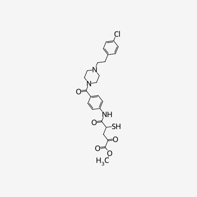 COC(=O)C(=O)CC(S)C(=O)Nc1ccc(C(=O)N2CCN(CCc3ccc(Cl)cc3)CC2)cc1